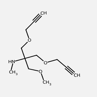 C#CCOCC(COC)(COCC#C)NC